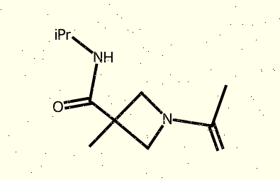 C=C(C)N1CC(C)(C(=O)NC(C)C)C1